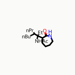 CCCCC(CCC)C(CC)(NC(C)=O)C1CCCCNC1=O